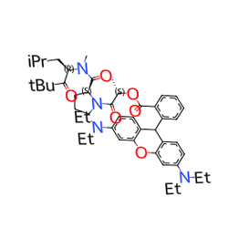 CCN(CC)c1ccc2c(c1)Oc1cc(N(CC)CC)ccc1C2c1ccccc1C(=O)O[C@@H](C)C(=O)N1CCC[C@H]1C(=O)N(C)[C@H](CC(C)C)C(=O)C(C)(C)C